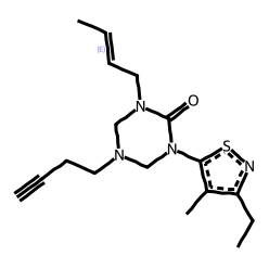 C#CCCN1CN(C/C=C/C)C(=O)N(c2snc(CC)c2C)C1